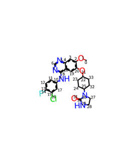 COc1cc2ncnc(Nc3ccc(F)c(Cl)c3)c2cc1OC1CCC(N2CCNC2=O)CC1